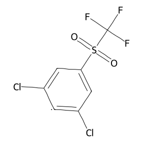 O=S(=O)(c1cc(Cl)[c]c(Cl)c1)C(F)(F)F